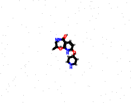 CC1CNC(=O)C2=C(NC(OC3CCNCC3)C=C2)O1